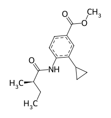 CC[C@@H](C)C(=O)Nc1ccc(C(=O)OC)cc1C1CC1